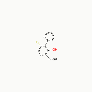 CCCCCc1ccc(S)c(-c2ccccc2)c1O